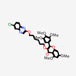 COc1cc(OC)c2c(=O)c(OCCCCCCOc3cnc4cc(Cl)ccc4n3)c(-c3cc(OC)c(OC)c(OC)c3)oc2c1